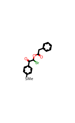 CSc1ccc(C(=O)C(Br)OC(=O)Cc2ccccc2)cc1